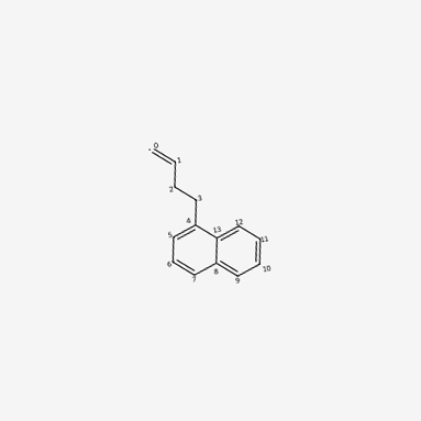 [CH]=CCCc1cccc2ccccc12